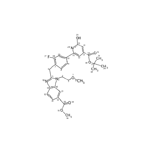 COCCn1c(Cc2ccc(-c3cc(C(=O)OC(C)(C)C)cc(O)n3)cc2F)nc2ccc(C(=O)OC)cc21